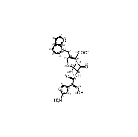 Nc1nc(C(=NO)C(=O)NC2C(=O)N3C(C(=O)[O-])=C(C[n+]4cccc5ccoc54)CS[C@@H]23)co1